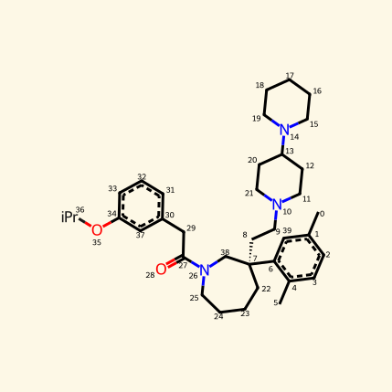 Cc1ccc(C)c([C@@]2(CCN3CCC(N4CCCCC4)CC3)CCCCN(C(=O)Cc3cccc(OC(C)C)c3)C2)c1